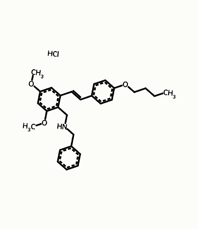 CCCCOc1ccc(/C=C/c2cc(OC)cc(OC)c2CNCc2ccccc2)cc1.Cl